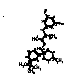 C=C1CCC(NCC(O)C(N)Cc2cc(F)cc(F)c2)(c2cccc(C(C)(C)C)c2)CC1